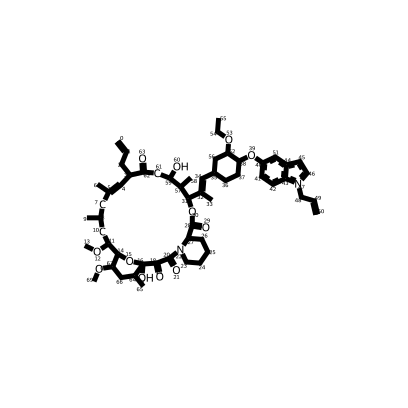 C=CCC1/C=C(\C)CC(C)CC(OC)C2OC(O)(C(=O)C(=O)N3CCCCC3C(=O)OC(C(C)=CC3CCC(Oc4ccc5c(ccn5CC=C)c4)C(OCC)C3)C(C)C(O)CC1=O)C(C)CC2OC